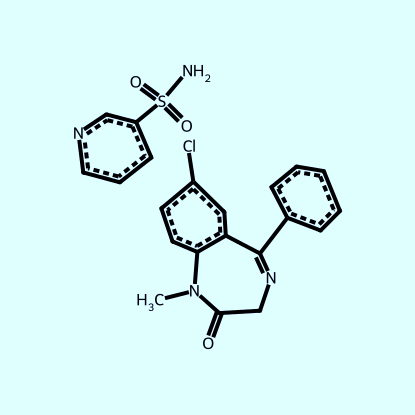 CN1C(=O)CN=C(c2ccccc2)c2cc(Cl)ccc21.NS(=O)(=O)c1cccnc1